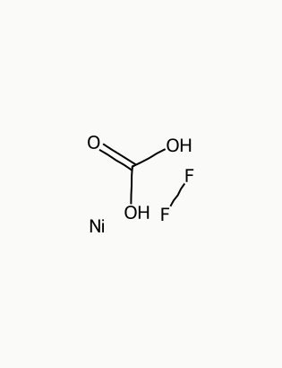 FF.O=C(O)O.[Ni]